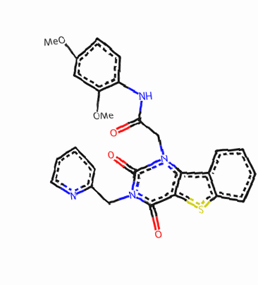 COc1ccc(NC(=O)Cn2c(=O)n(Cc3ccccn3)c(=O)c3sc4ccccc4c32)c(OC)c1